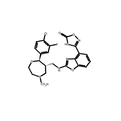 O=C(O)N1CCO[C@@H](c2ccc(Cl)c(F)c2)[C@H](CNc2nc3c(-c4noc(=O)[nH]4)cccc3o2)C1